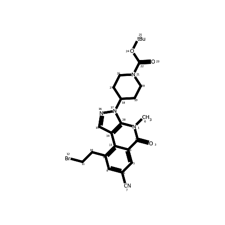 Cn1c(=O)c2cc(C#N)cc(CCBr)c2c2cnn(C3CCN(C(=O)OC(C)(C)C)CC3)c21